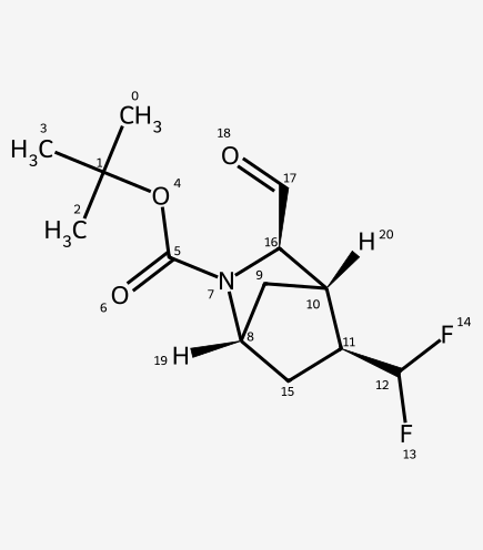 CC(C)(C)OC(=O)N1[C@@H]2C[C@@H]([C@@H](C(F)F)C2)[C@@H]1C=O